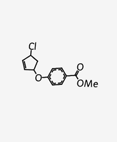 COC(=O)c1ccc(OC2C=CC(Cl)C2)cc1